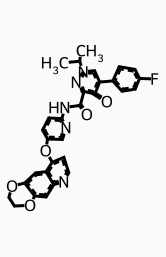 CC(C)n1cc(-c2ccc(F)cc2)c(=O)c(C(=O)Nc2ccc(Oc3ccnc4cc5c(cc34)OCCO5)cn2)n1